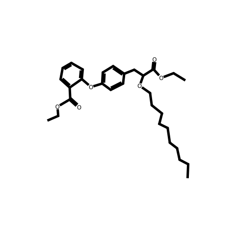 CCCCCCCCCCOC(Cc1ccc(Oc2ccccc2C(=O)OCC)cc1)C(=O)OCC